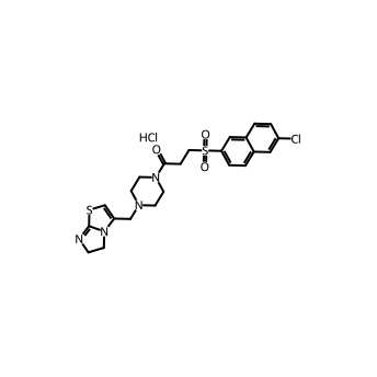 Cl.O=C(CCS(=O)(=O)c1ccc2cc(Cl)ccc2c1)N1CCN(CC2=CSC3=NCCN23)CC1